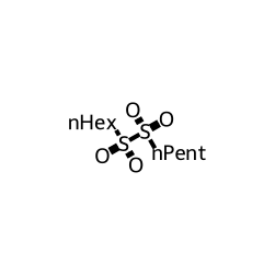 CCCCCCS(=O)(=O)S(=O)(=O)CCCCC